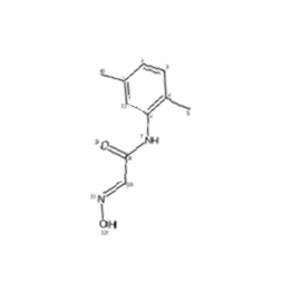 Cc1ccc(C)c(NC(=O)C=NO)c1